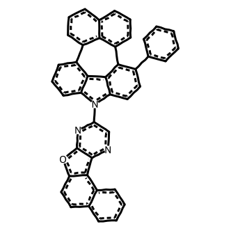 c1ccc(-c2ccc3c4c2-c2cccc5cccc(c25)-c2cccc(c24)n3-c2cnc3c(n2)oc2ccc4ccccc4c23)cc1